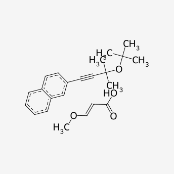 CC(C)(C)OC(C)(C)C#Cc1ccc2ccccc2c1.COC=CC(=O)O